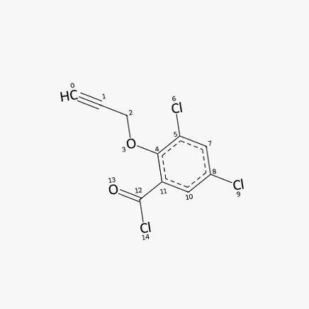 C#CCOc1c(Cl)cc(Cl)cc1C(=O)Cl